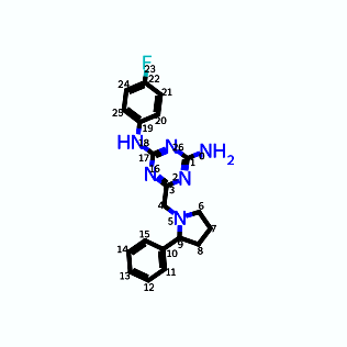 Nc1nc(CN2CCCC2c2ccccc2)nc(Nc2ccc(F)cc2)n1